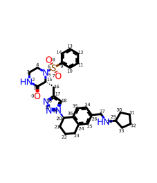 O=C1NCCN(S(=O)(=O)c2ccccc2)[C@@H]1Cc1cn([C@@H]2CCCc3cc(CNC4CCCC4)ccc32)nn1